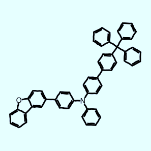 c1ccc(N(c2ccc(-c3ccc(C(c4ccccc4)(c4ccccc4)c4ccccc4)cc3)cc2)c2ccc(-c3ccc4oc5ccccc5c4c3)cc2)cc1